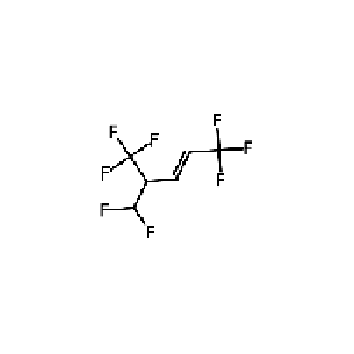 FC(F)C(C=CC(F)(F)F)C(F)(F)F